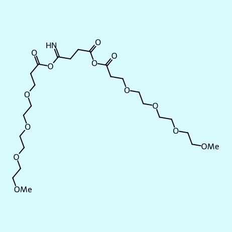 COCCOCCOCCOCCC(=O)OC(=N)CCC(=O)OC(=O)CCOCCOCCOCCOC